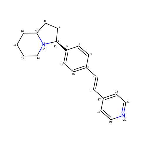 C(=Cc1ccc([C@@H]2CCC3CCCCN32)cc1)c1ccncc1